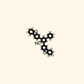 N#Cc1c(-c2ccc3c(c2)oc2ccccc23)cc(-c2ccccc2)cc1-c1ccc2oc3ccccc3c2c1